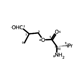 CC([C]=O)COC(=O)[C@@H](N)C(C)C